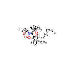 CCCCCC(C)C(C)c1cc(O)c2c(c1)OC(C)(C)CC2=NCC(C)=O